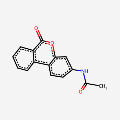 CC(=O)Nc1ccc2c(c1)oc(=O)c1ccccc12